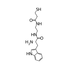 N[C@@H](Cc1c[nH]c2ccccc12)C(=O)NCCNC(=O)CCS